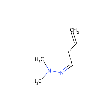 C=CC/C=N\N(C)C